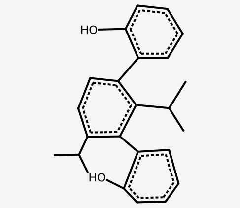 CC(C)c1ccc(-c2ccccc2O)c(C(C)C)c1-c1ccccc1O